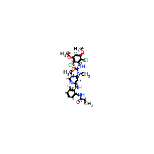 C=CC(=O)Nc1cccc(F)c1NC1=CC(N(C)C(=O)Nc2c(Cl)c(OC)cc(OC)c2Cl)N(C)C=N1